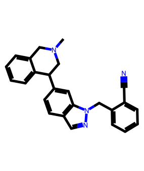 CN1Cc2ccccc2C(c2ccc3cnn(Cc4ccccc4C#N)c3c2)C1